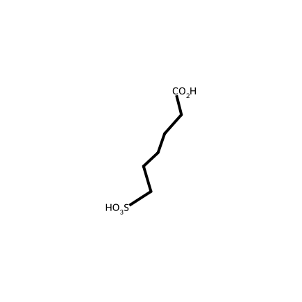 O=C(O)CCCCCS(=O)(=O)O